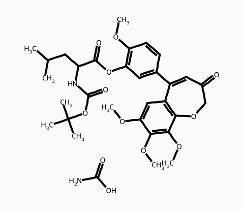 COc1ccc(C2=CC(=O)COc3c2cc(OC)c(OC)c3OC)cc1OC(=O)C(CC(C)C)NC(=O)OC(C)(C)C.NC(=O)O